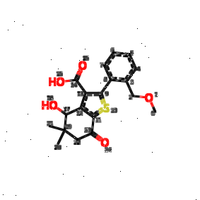 COCc1ccccc1-c1sc2c(c1C(=O)O)C(O)C(C)(C)CC2=O